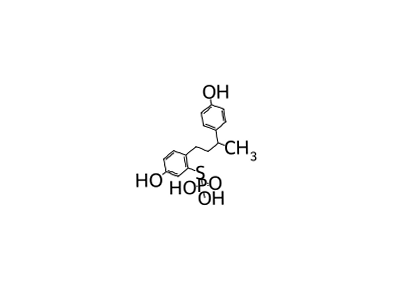 CC(CCc1ccc(O)cc1SP(=O)(O)O)c1ccc(O)cc1